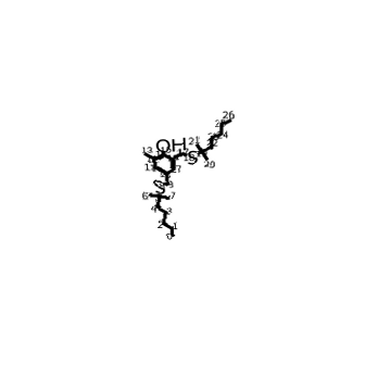 CCCCCC(C)(C)SCc1cc(C)c(O)c(CSC(C)(C)CCCCC)c1